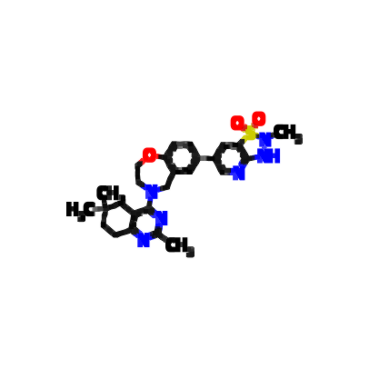 Cc1nc2c(c(N3CCOc4ccc(-c5cnc6c(c5)S(=O)(=O)N(C)N6)cc4C3)n1)CC(C)(C)CC2